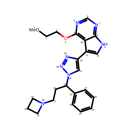 COCCOc1ncnc2[nH]cc(-c3cn(C(CCN4CCC4)c4ccccc4)nn3)c12